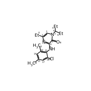 CCc1cn(C(CC)CC)c(=O)c(Nc2c(C)cc(C)cc2Cl)n1